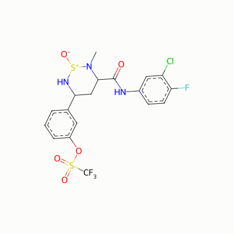 CN1C(C(=O)Nc2ccc(F)c(Cl)c2)CC(c2cccc(OS(=O)(=O)C(F)(F)F)c2)N[S+]1[O-]